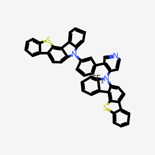 FC(F)(F)c1ccc(-n2c3ccccc3c3c4sc5ccccc5c4ccc32)cc1-c1cnccc1-n1c2ccccc2c2c3sc4ccccc4c3ccc21